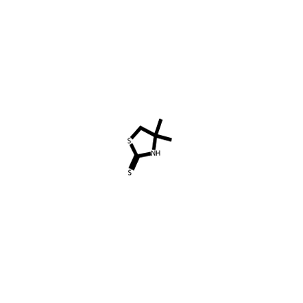 CC1(C)CSC(=S)N1